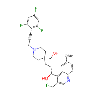 COc1ccc2ncc(CF)c([C@@H](O)CCC3(CO)CCN(CC#Cc4c(F)cc(F)cc4F)CC3)c2c1